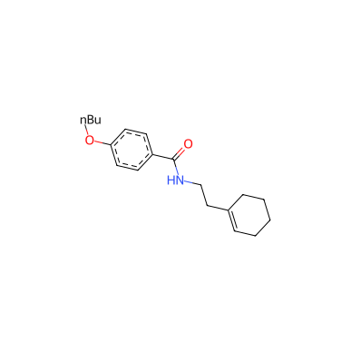 CCCCOc1ccc(C(=O)NCCC2=CCCCC2)cc1